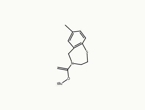 C=C(OC(C)(C)C)N1CCSc2ccc(C)cc2C1